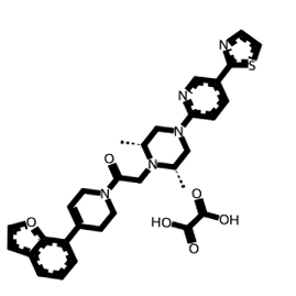 C[C@@H]1CN(c2ccc(-c3nccs3)cn2)C[C@H](C)N1CC(=O)N1CC=C(c2cccc3ccoc23)CC1.O=C(O)C(=O)O